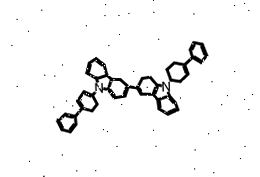 C1=CC2C3CC(C4=Cc5c(n(C6CC=C(c7ccccc7)CC6)c6ccccc56)CC4)=CC=C3N(C3=CC=C(c4ccccc4)CC3)C2C=C1